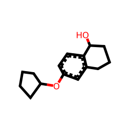 OC1CCCc2cc(OC3CCCC3)ccc21